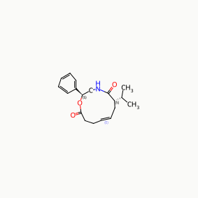 CC(C)[C@@H]1C/C=C/CCC(=O)O[C@@H](c2ccccc2)CNC1=O